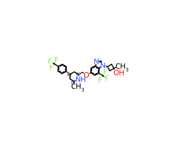 C[C@H]1C[C@@H](c2ccc(C(F)(F)F)cc2)C[C@@H](COc2cc(C(F)(F)F)c3c(c2)ncn3C2CC(C)(O)C2)N1